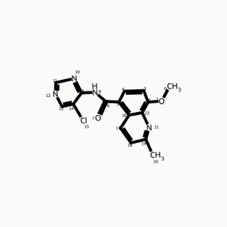 COc1ccc(C(=O)Nc2ncncc2Cl)c2ccc(C)nc12